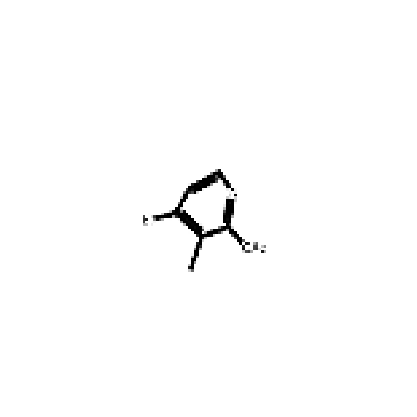 CCc1ccnc(OC(C)=O)c1C